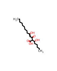 CCCCCCCCCC(O)=CC(=O)C(C(=O)O)C(O)CCCCC